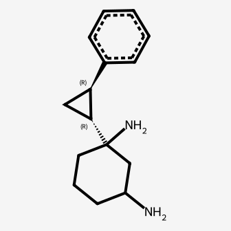 NC1CCCC(N)([C@@H]2C[C@H]2c2ccccc2)C1